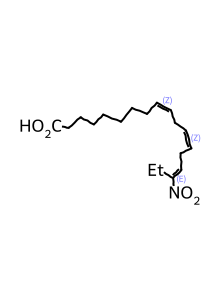 CC/C(=C\C/C=C\C/C=C\CCCCCCCC(=O)O)[N+](=O)[O-]